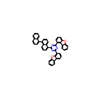 c1ccc2c(-c3cccc4c(-c5nc(-c6cccc7c6oc6ccccc67)nc(-c6cccc7oc8ccccc8c67)n5)cccc34)cccc2c1